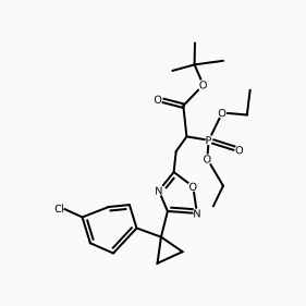 CCOP(=O)(OCC)C(Cc1nc(C2(c3ccc(Cl)cc3)CC2)no1)C(=O)OC(C)(C)C